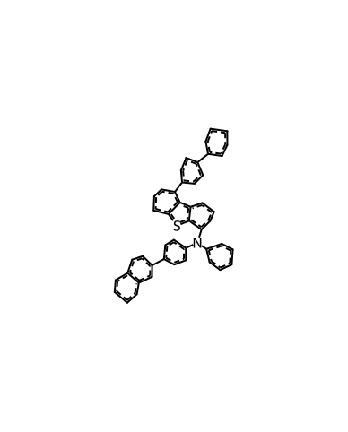 c1ccc(-c2ccc(-c3cccc4sc5c(N(c6ccccc6)c6ccc(-c7ccc8ccccc8c7)cc6)cccc5c34)cc2)cc1